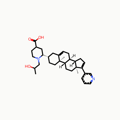 CC(O)CN1CCC(C(=O)O)CC1[C@H]1CC[C@@]2(C)C(=CC[C@@H]3[C@@H]2CC[C@]2(C)C(c4cccnc4)=CC[C@@H]32)C1